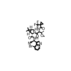 CO[C@H](C)[C@H](NC(=O)C1(C(F)(F)F)CC1)C(=O)N1C[C@H]2[C@@H]([C@H]1C(=O)NC(C#N)c1cnn3cccc(Br)c13)C2(C)C